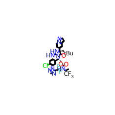 C[C@H](NC(=O)OC[C@H](c1ccc(Cl)c(-n2ncnc2C(F)F)c1)N1C(=N)N[C@](CC(C)(C)C)(c2ccn3nccc3c2)C1=O)C(F)(F)F